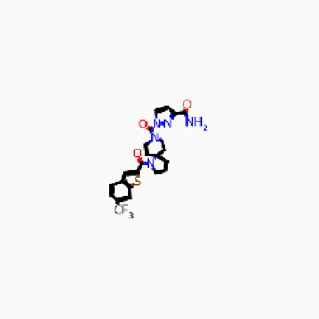 NC(=O)c1ccn(C(=O)N2CCC3(CCCN3C(=O)c3cc4ccc(C(F)(F)F)cc4s3)CC2)n1